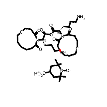 CC1(C)CC(C(=O)O)CC(C)(C)N1[O].NCCCC[C@@H](C(=O)OC(=O)[C@H](CCCCN)N1C(=O)CCCCCCCCC1=O)N1C(=O)CCCCCCCCC1=O